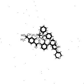 CC(C)(O)c1ccc(C(=O)Nc2cccc(-c3ncnc4[nH]c(C5=CCOCC5)cc34)c2CO[Si](c2ccccc2)(c2ccccc2)C(C)(C)C)c(F)c1